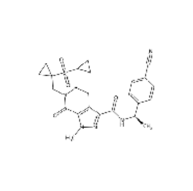 C[C@@H](NC(=O)c1nn(C)c2c1CCN(CC1(S(=O)(=O)C3CC3)CC1)C2=O)c1ccc(C#N)cc1